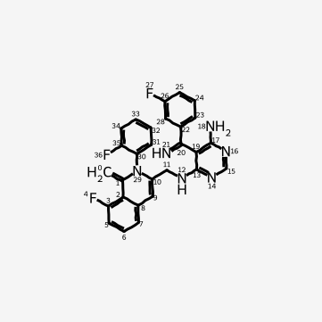 C=C1c2c(F)cccc2C=C(CNc2ncnc(N)c2C(=N)c2cccc(F)c2)N1c1ccccc1F